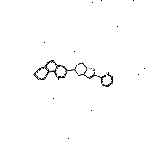 C1=C(c2ccccn2)SC2CCC(c3cnc4c(ccc5ccccc54)c3)CC12